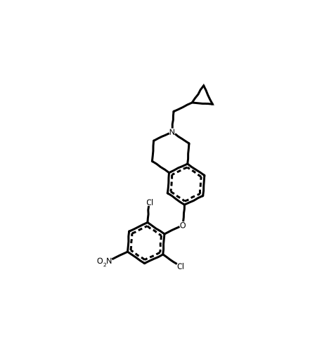 O=[N+]([O-])c1cc(Cl)c(Oc2ccc3c(c2)CCN(CC2CC2)C3)c(Cl)c1